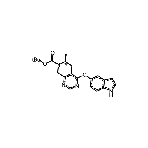 C[C@H]1Cc2c(ncnc2Oc2ccc3[nH]ccc3c2)CN1C(=O)OC(C)(C)C